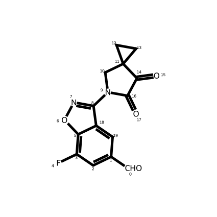 O=Cc1cc(F)c2onc(N3CC4(CC4)C(=O)C3=O)c2c1